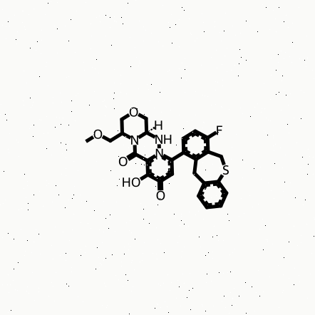 COCC1COC[C@H]2Nn3c(-c4ccc(F)c5c4Cc4ccccc4SC5)cc(=O)c(O)c3C(=O)N12